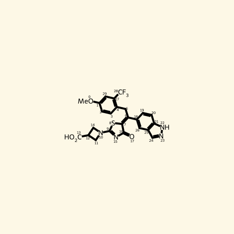 COc1ccc(CC(=C2SC(N3CC(C(=O)O)C3)=NC2=O)c2ccc3[nH]ncc3c2)c(C(F)(F)F)c1